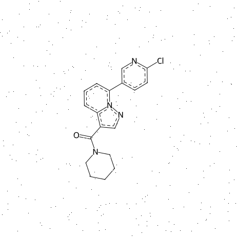 O=C(c1cnn2c(-c3ccc(Cl)nc3)cccc12)N1CCCCC1